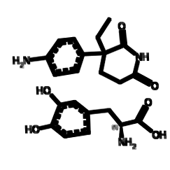 CCC1(c2ccc(N)cc2)CCC(=O)NC1=O.N[C@@H](Cc1ccc(O)c(O)c1)C(=O)O